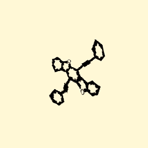 C(#Cc1c2oc3ccccc3c2c(C#Cc2ccccc2)c2oc3ccccc3c12)c1ccccc1